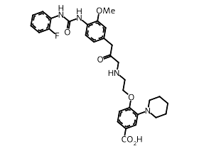 COc1cc(CC(=O)CNCCOc2ccc(C(=O)O)cc2N2CCCCC2)ccc1NC(=O)Nc1ccccc1F